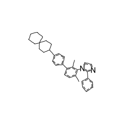 Cc1ccc(-c2ccc(C3CCC4(CCCCC4)CC3)cc2)c(C)c1-n1ccnc1-c1ccccc1